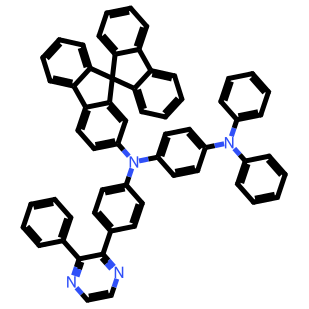 c1ccc(-c2nccnc2-c2ccc(N(c3ccc(N(c4ccccc4)c4ccccc4)cc3)c3ccc4c(c3)C3(c5ccccc5-c5ccccc53)c3ccccc3-4)cc2)cc1